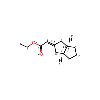 CCOC(=O)/C=C1/C[C@H]2CCC[C@H]2C1